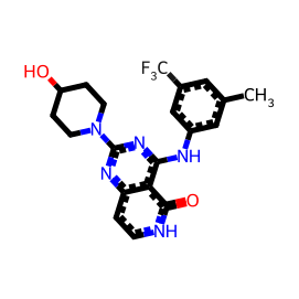 Cc1cc(Nc2nc(N3CCC(O)CC3)nc3cc[nH]c(=O)c23)cc(C(F)(F)F)c1